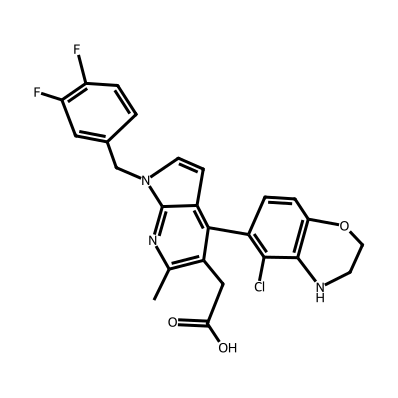 Cc1nc2c(ccn2Cc2ccc(F)c(F)c2)c(-c2ccc3c(c2Cl)NCCO3)c1CC(=O)O